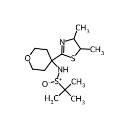 CC1N=C(C2(N[S+]([O-])C(C)(C)C)CCOCC2)SC1C